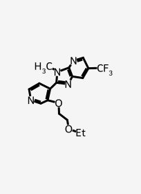 CCOCCOc1cnccc1-c1nc2cc(C(F)(F)F)cnc2n1C